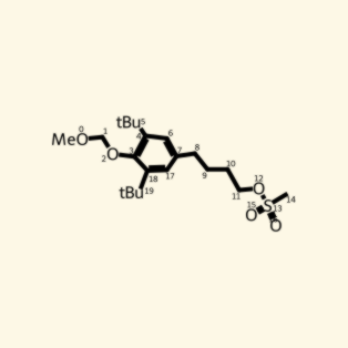 COCOc1c(C(C)(C)C)cc(CCCCOS(C)(=O)=O)cc1C(C)(C)C